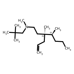 C=CC[C@@](C)(CCN(C)CC(C)(C)C)[C@@H](C)CCC